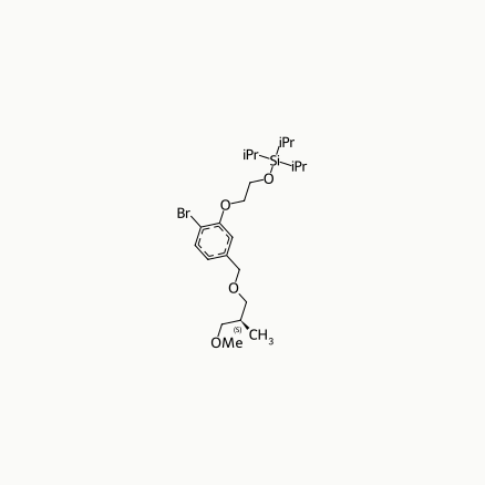 COC[C@H](C)COCc1ccc(Br)c(OCCO[Si](C(C)C)(C(C)C)C(C)C)c1